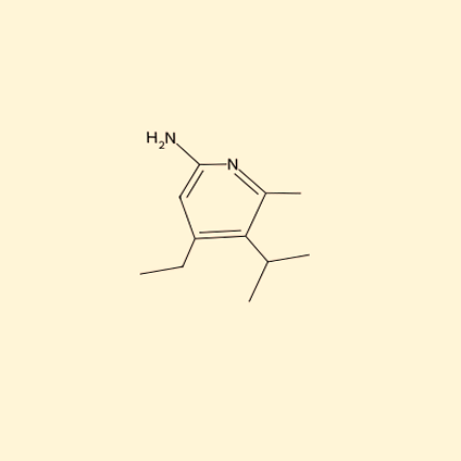 CCc1cc(N)nc(C)c1C(C)C